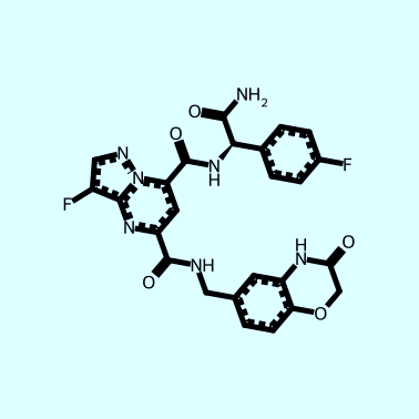 NC(=O)[C@H](NC(=O)c1cc(C(=O)NCc2ccc3c(c2)NC(=O)CO3)nc2c(F)cnn12)c1ccc(F)cc1